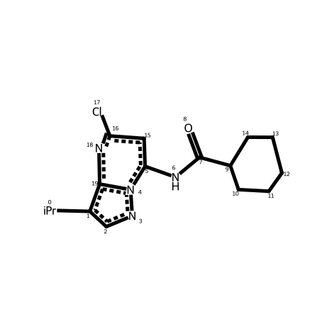 CC(C)c1cnn2c(NC(=O)C3CCCCC3)cc(Cl)nc12